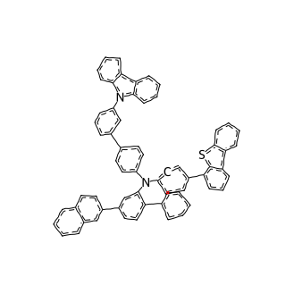 c1ccc(-c2ccc(-c3ccc4ccccc4c3)cc2N(c2ccc(-c3cccc(-n4c5ccccc5c5ccccc54)c3)cc2)c2ccc(-c3cccc4c3sc3ccccc34)cc2)cc1